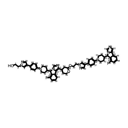 OCCn1cc(-c2ccc(N3CCC(C4c5c(F)cccc5-c5c(C6CCOC(OCCn7cc(-c8ccc(N9CCC(C%10c%11c(F)cccc%11-c%11cncn%11%10)CC9)cc8)cn7)C6)ncn54)CC3)cc2)cn1